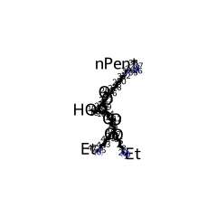 CC/C=C\CCCCOC(CCC(=O)OCc1cc(CO)cc(COC(=O)CCCCCCC/C=C\C/C=C\CCCCC)c1)OCCCC/C=C\CC